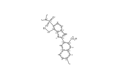 CCOc1c(S(=O)(=O)N(C)C)ccc2[nH]c(-c3nc4ccc(C)cc4cc3C(=O)O)nc12